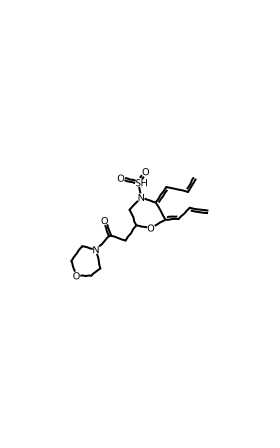 C=C/C=C1/OC(CC(=O)N2CCOCC2)CN([SH](=O)=O)/C1=C/C=C